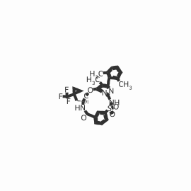 Cc1cccc(C)c1-c1nc2nc(c1C)OC[C@@H](CC1(C(F)(F)F)CC1)NC(=O)c1cccc(c1)S(=O)(=O)N2